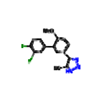 COc1ccc(-c2nn[nH]c2C#N)cc1-c1ccc(F)c(F)c1